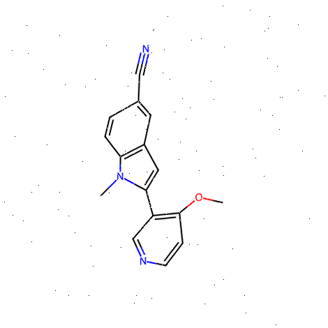 COc1ccncc1-c1cc2cc(C#N)ccc2n1C